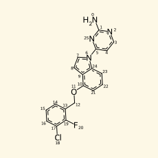 Nc1nccc(-n2ccc3c(OCc4cccc(Cl)c4F)cccc32)n1